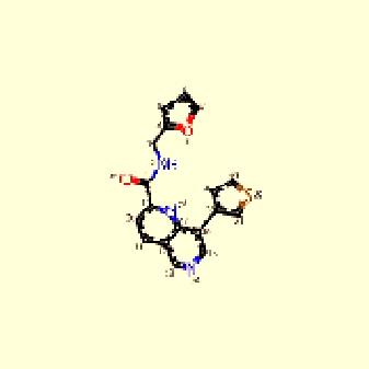 O=C(NCc1ccco1)c1ccc2cncc(-c3ccsc3)c2n1